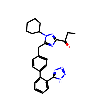 CCC(=O)c1nc(Cc2ccc(-c3ccccc3-c3nnn[nH]3)cc2)n(C2CCCCC2)n1